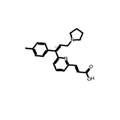 Cc1ccc(/C(=C/CN2CCCC2)c2cccc(C=CC(=O)O)n2)cc1